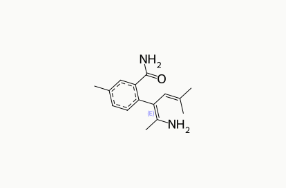 CC(C)=C/C(=C(/C)N)c1ccc(C)cc1C(N)=O